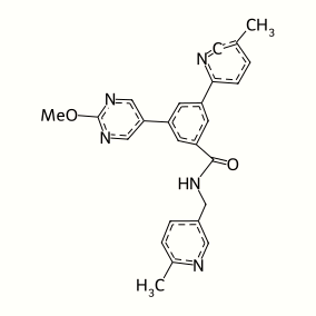 COc1ncc(-c2cc(C(=O)NCc3ccc(C)nc3)cc(-c3ccc(C)cn3)c2)cn1